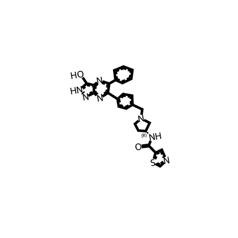 O=C(N[C@@H]1CCN(Cc2ccc(-c3nc4n[nH]c(O)c4nc3-c3ccccc3)cc2)C1)c1cncs1